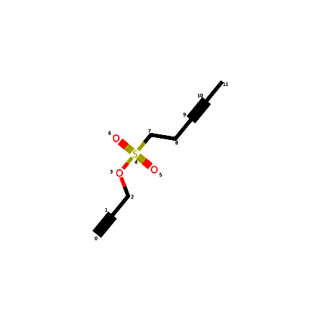 C#CCOS(=O)(=O)CCC#CC